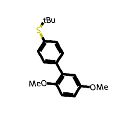 COc1ccc(OC)c(-c2ccc(SC(C)(C)C)cc2)c1